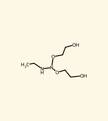 CCNN(OCCO)OCCO